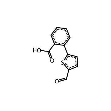 O=Cc1ccc(-c2ccccc2C(=O)O)s1